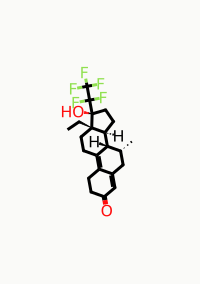 CC[C@]12CCC3=C4CCC(=O)C=C4C[C@@H](C)[C@H]3[C@@H]1CC[C@@]2(O)C(F)(F)C(F)(F)F